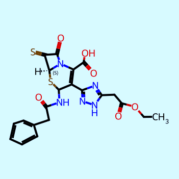 CCOC(=O)Cc1nc(C2=C(C(=O)O)N3C(=O)C(=S)[C@@H]3SC2NC(=O)Cc2ccccc2)n[nH]1